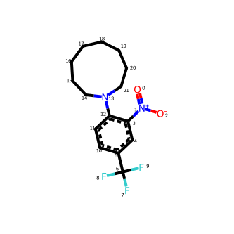 O=[N+]([O-])c1cc(C(F)(F)F)ccc1N1CCCCCCCC1